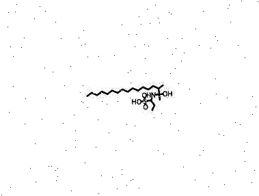 CCCCCCCCCCCCCCC(C)C(C)(O)NC(CC)S(=O)(=O)O